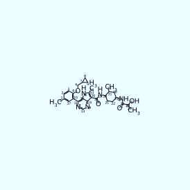 Cc1ccc(OCC2CC2)c(-c2ncnc3c(C(=O)NC4CCC(NC(=O)[C@H](C)O)CC4C)c(C)[nH]c23)c1